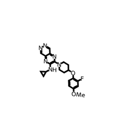 COc1ccc(OC2CCN(c3nc4cnncc4nc3NC3CC3)CC2)c(F)c1